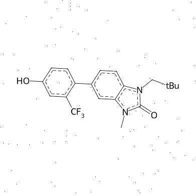 Cn1c(=O)n(CC(C)(C)C)c2ccc(-c3ccc(O)cc3C(F)(F)F)cc21